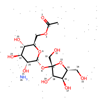 CC(=O)OC[C@H]1O[C@H](O[C@]2(CO)O[C@H](CO)[C@@H](O)[C@@H]2O)[C@H](O)[C@@H](O)[C@@H]1O.N